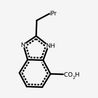 CC(C)Cc1nc2cccc(C(=O)O)c2[nH]1